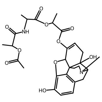 CC(=O)OC(C)C(=O)NC(C)C(=O)OC(C)C(=O)OC1=CCC2(O)C3Cc4ccc(O)c5c4C2(CCN3C)C1O5